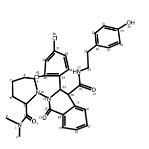 CN(C)C(=O)C1CCCCN1N1C(=O)c2ccccc2C(C(=O)NCCc2ccc(O)cc2)C1c1ccc(Cl)cc1Cl